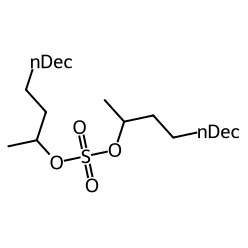 CCCCCCCCCCCCC(C)OS(=O)(=O)OC(C)CCCCCCCCCCCC